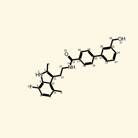 Cc1[nH]c2c(F)ccc(C)c2c1CCNC(=O)c1ccc(-c2cccc(CO)c2)cc1